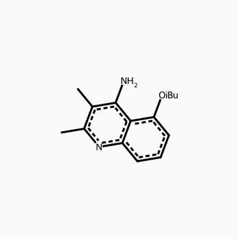 Cc1nc2cccc(OCC(C)C)c2c(N)c1C